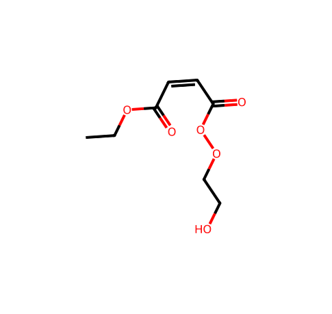 CCOC(=O)/C=C\C(=O)OOCCO